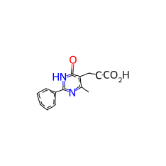 Cc1nc(-c2ccccc2)[nH]c(=O)c1CCC(=O)O